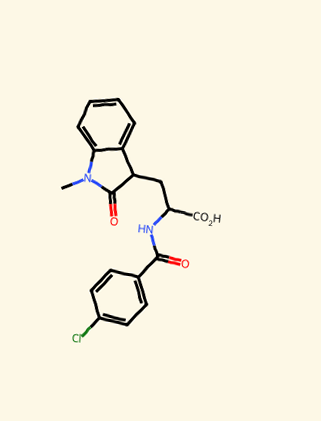 CN1C(=O)C(CC(NC(=O)c2ccc(Cl)cc2)C(=O)O)c2ccccc21